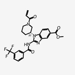 C=CC(=O)N1CCC[C@@H](n2c(NC(=O)c3cccc(C(F)(F)F)c3)nc3cc(C(=O)OC)ccc32)C1